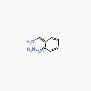 N/C=C1/C=CC=C/C1=N/N